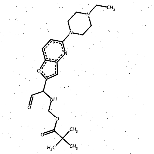 CCN1CCN(c2ccc3oc(C(C=O)NCOC(=O)C(C)(C)C)cc3n2)CC1